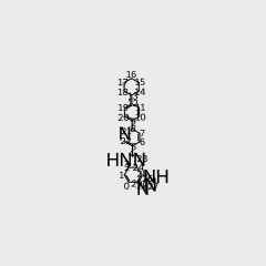 C1=CC2NC(c3ccc(-c4ccc(C5CCCCC5)cc4)nc3)=NC2c2[nH]nnc21